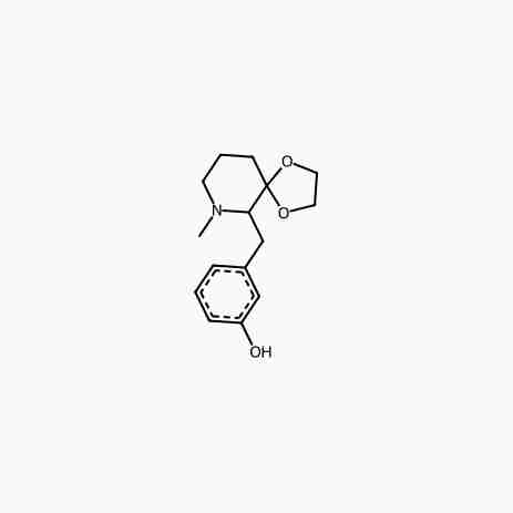 CN1CCCC2(OCCO2)C1Cc1cccc(O)c1